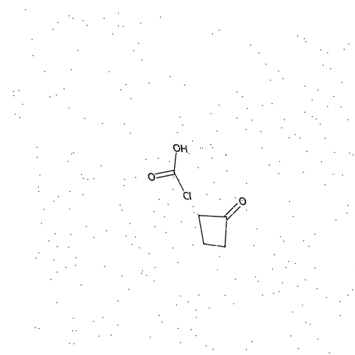 O=C(O)Cl.O=C1CCC1